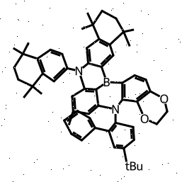 Cc1cc2c3c(c1)N(c1ccc(C(C)(C)C)cc1-c1ccccc1)c1c(ccc4c1OCCO4)B3c1cc3c(cc1N2c1ccc2c(c1)C(C)(C)CCC2(C)C)C(C)(C)CCC3(C)C